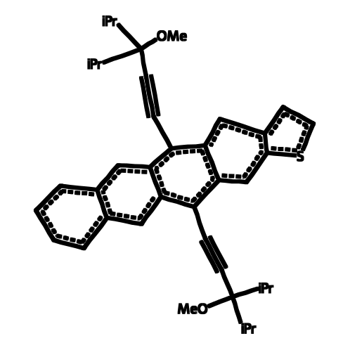 COC(C#Cc1c2cc3ccccc3cc2c(C#CC(OC)(C(C)C)C(C)C)c2cc3sccc3cc12)(C(C)C)C(C)C